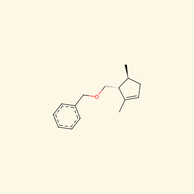 CC1=CC[C@H](C)[C@H]1COCc1ccccc1